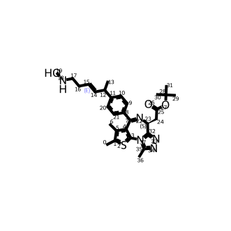 Cc1sc2c(c1C)C(c1ccc(C(C)/C=C/CCNO)cc1)=N[C@@H](CC(=O)OC(C)(C)C)c1nnc(C)n1-2